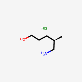 C[C@@H](CN)CCCO.Cl